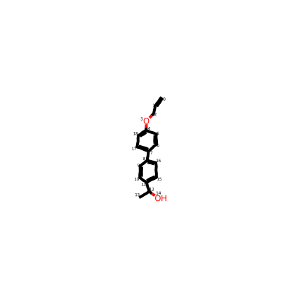 C=CCOc1ccc(-c2ccc(C(C)O)cc2)cc1